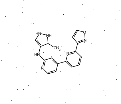 CC1NNC=C1Nc1nccc(-c2cccc(-c3ccon3)n2)n1